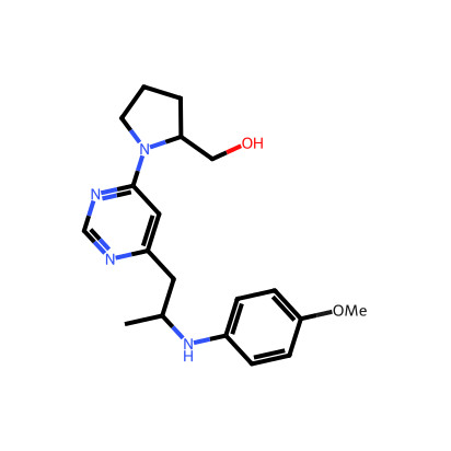 COc1ccc(NC(C)Cc2cc(N3CCCC3CO)ncn2)cc1